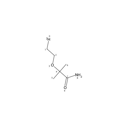 [2H]CCOC(C)(C)C(N)=O